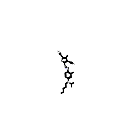 CCCCCN(c1ccc(/N=N/c2sc(C#N)c(C)c2C#N)c(C)c1)C(C)C